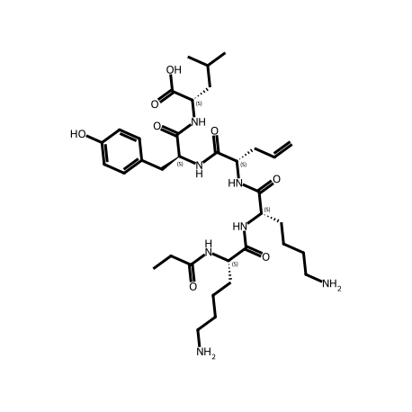 C=CC[C@H](NC(=O)[C@H](CCCCN)NC(=O)[C@H](CCCCN)NC(=O)CC)C(=O)N[C@@H](Cc1ccc(O)cc1)C(=O)N[C@@H](CC(C)C)C(=O)O